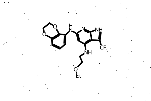 CCOCCNc1cc(Nc2cc[c]c3c2OCCO3)nc2[nH]cc(C(F)(F)F)c12